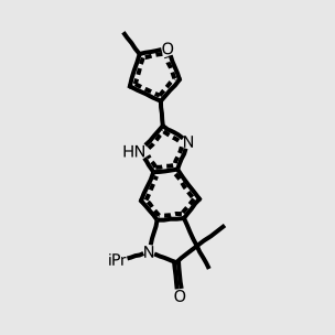 Cc1cc(-c2nc3cc4c(cc3[nH]2)N(C(C)C)C(=O)C4(C)C)co1